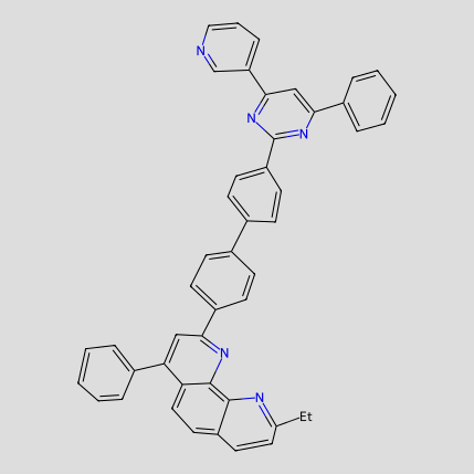 CCc1ccc2ccc3c(-c4ccccc4)cc(-c4ccc(-c5ccc(-c6nc(-c7ccccc7)cc(-c7cccnc7)n6)cc5)cc4)nc3c2n1